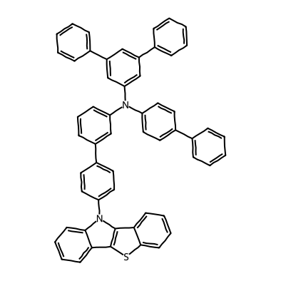 c1ccc(-c2ccc(N(c3cccc(-c4ccc(-n5c6ccccc6c6sc7ccccc7c65)cc4)c3)c3cc(-c4ccccc4)cc(-c4ccccc4)c3)cc2)cc1